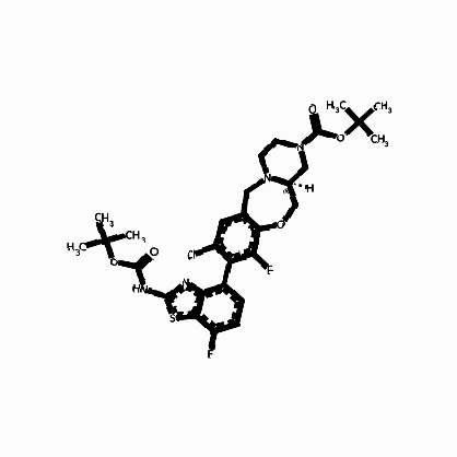 CC(C)(C)OC(=O)Nc1nc2c(-c3c(Cl)cc4c(c3F)OC[C@@H]3CN(C(=O)OC(C)(C)C)CCN3C4)ccc(F)c2s1